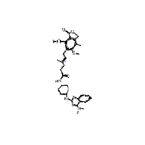 COc1c(C)c2c(c(O)c1C/C=C(\C)CCC(=O)N[C@H]1CC[C@@H](Nc3nc(N(C)C)c4ccccc4n3)CC1)C(=O)OC2